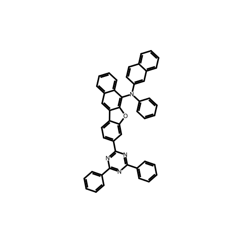 c1ccc(-c2nc(-c3ccccc3)nc(-c3ccc4c(c3)oc3c(N(c5ccccc5)c5ccc6ccccc6c5)c5ccccc5cc34)n2)cc1